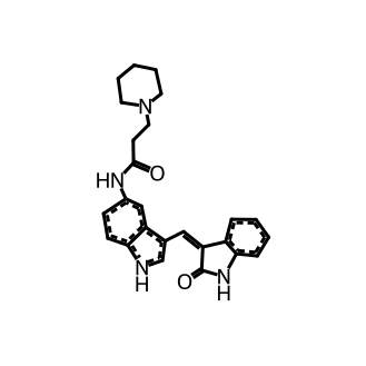 O=C(CCN1CCCCC1)Nc1ccc2[nH]cc(C=C3C(=O)Nc4ccccc43)c2c1